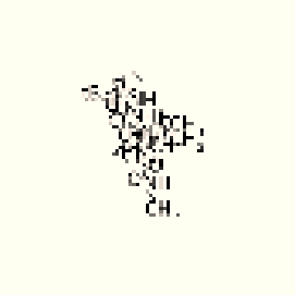 C=CCNC(=O)C(=O)C(CC1CC1)NC(=O)[C@@H]1[C@@H]2[C@H](CN1C(=O)[C@@H](NC(=O)NC1(CS(=O)(=O)C(C)(C)C)CCCCC1)C1(C)CCCC1)C2(C)C